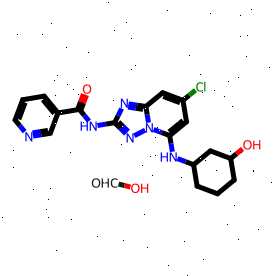 O=C(Nc1nc2cc(Cl)cc(NC3CCCC(O)C3)n2n1)c1cccnc1.O=CO